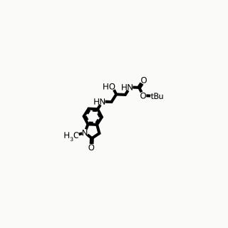 CN1C(=O)Cc2cc(NCC(O)CNC(=O)OC(C)(C)C)ccc21